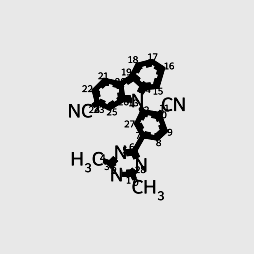 Cc1nc(C)nc(-c2ccc(C#N)c(-n3c4ccccc4c4ccc(C#N)cc43)c2)n1